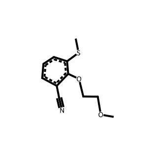 COCCOc1c(C#N)cccc1SC